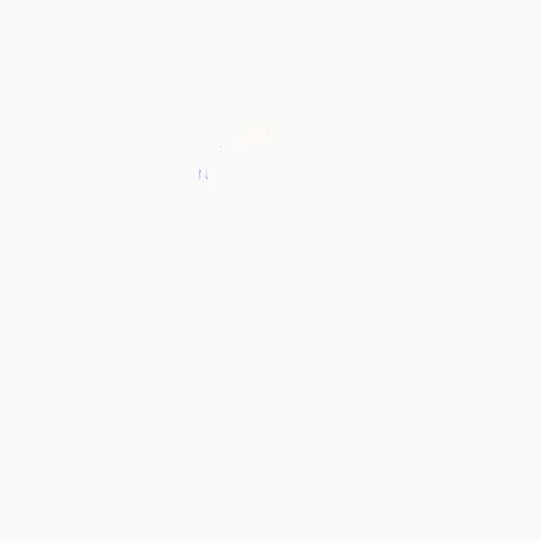 O=C1CCCN1/C(F)=C/c1ccc(-c2ccccc2)cc1